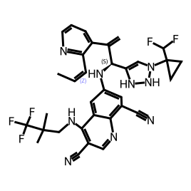 C=C(c1cccnc1/C=C\C)[C@H](Nc1cc(C#N)c2ncc(C#N)c(NCC(C)(C)C(F)(F)F)c2c1)C1=CN(C2(C(F)F)CC2)NN1